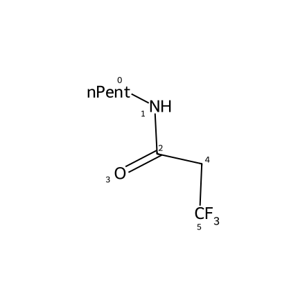 [CH2]CCCCNC(=O)CC(F)(F)F